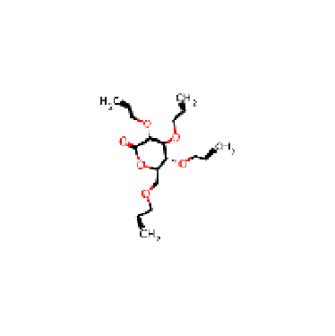 C=CCOC[C@H]1OC(=O)[C@H](OCC=C)[C@@H](OCC=C)[C@@H]1OCC=C